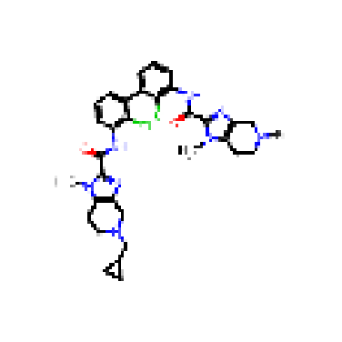 CCN1CCc2c(nc(C(=O)Nc3cccc(-c4cccc(NC(=O)c5nc6c(n5C)CCN(CC5CC5)C6)c4Cl)c3Cl)n2C)C1